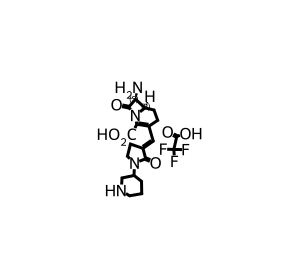 N[C@@H]1C(=O)N2C(C(=O)O)=C(C=C3CCN(C4CCCNC4)C3=O)CC[C@H]12.O=C(O)C(F)(F)F